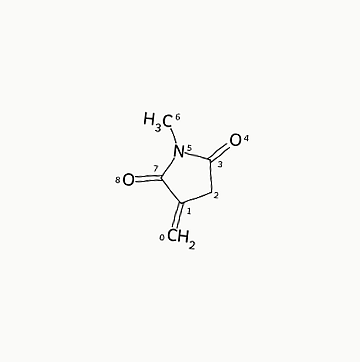 C=C1CC(=O)N(C)C1=O